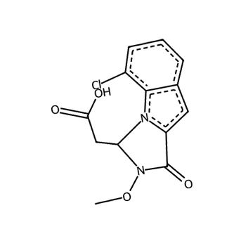 CON1C(=O)c2cc3cccc(Cl)c3n2C1CC(=O)O